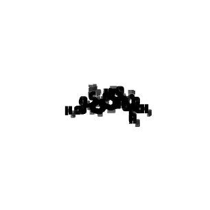 COC(=O)c1ccc2c(c1C)O[C@H]1CO[C@H]([C@@H]3COC(C)(C)O3)[C@H]1CC2